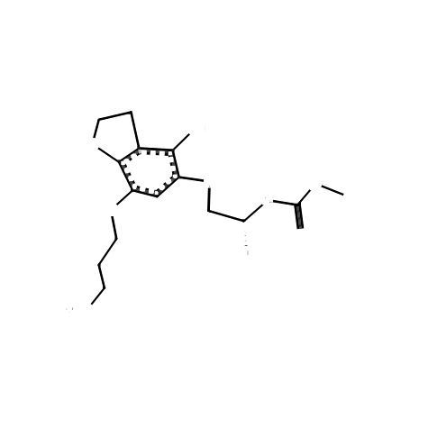 COCCCOc1cc(OC[C@H](NC(=O)OC(C)(C)C)C(C)C)c(C=O)c2c1OCC2